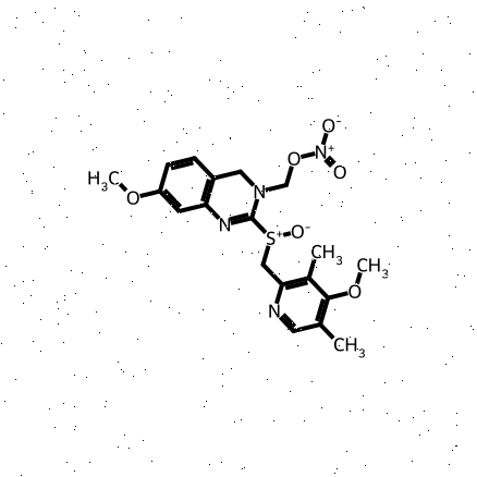 COc1ccc2c(c1)N=C([S+]([O-])Cc1ncc(C)c(OC)c1C)N(CO[N+](=O)[O-])C2